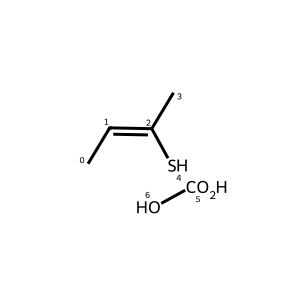 CC=C(C)S.O=C(O)O